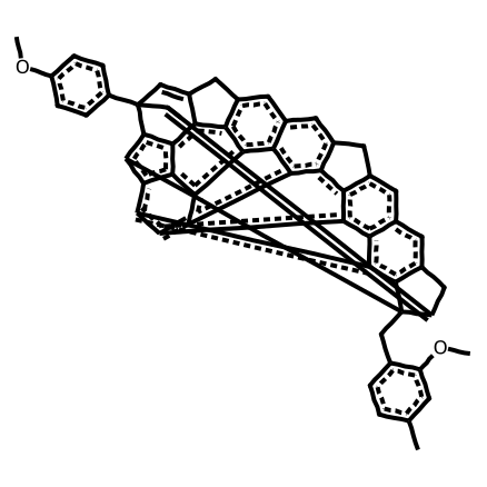 COc1ccc(C23C=C4Cc5cc6cc7c8c9c(cc%10cc%11c%12c%13c%10c9c9c%13c%10c(c2c2c4c5c4c6c8c9c4c2%10)C%12(Cc2ccc(C)cc2OC)C(=C3)C%11)C7)cc1